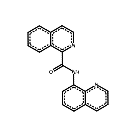 O=C(Nc1cccc2cccnc12)c1nccc2ccccc12